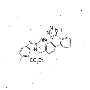 CCCCc1nc2ccc(C)c(C(=O)OCC)c2n1Cc1ccc(-c2ccccc2-c2nnn[nH]2)cc1